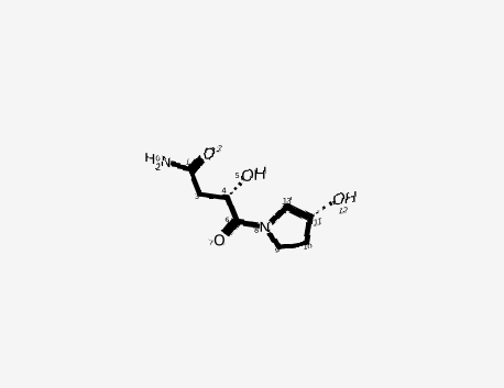 NC(=O)C[C@H](O)C(=O)N1CC[C@@H](O)C1